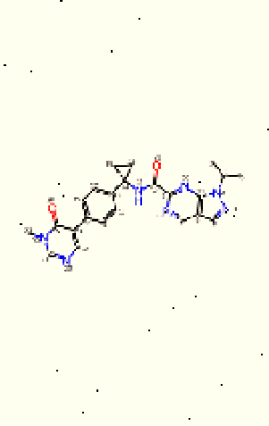 CC(C)n1ncc2cnc(C(=O)NC3(c4ccc(-c5cncn(C)c5=O)cc4)CC3)nc21